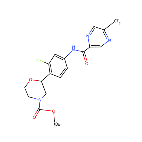 CC(C)(C)OC(=O)N1CCOC(c2ccc(NC(=O)c3cnc(C(F)(F)F)cn3)cc2F)C1